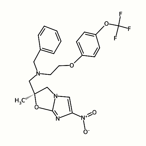 C[C@]1(CN(CCOc2ccc(OC(F)(F)F)cc2)Cc2ccccc2)Cn2cc([N+](=O)[O-])nc2O1